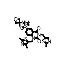 Cc1ncc(Cn2c(=O)c3cc(S(=O)(=O)NC4(C)COC4)ccc3n(Cc3sc(C)nc3C)c2=O)s1